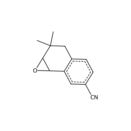 CC1(C)Cc2ccc(C#N)cc2C2OC21